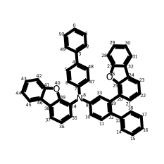 c1ccc(-c2ccc(N(c3ccc(-c4ccccc4)c(-c4cccc5c4oc4ccccc45)c3)c3cccc4c3oc3ccccc34)cc2)cc1